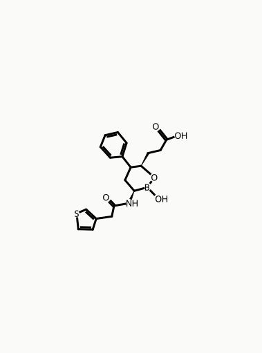 O=C(O)CC[C@H]1OB(O)[C@@H](NC(=O)Cc2ccsc2)CC1c1ccccc1